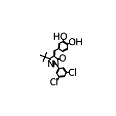 CC(C)(C)C1=NN(c2cc(Cl)cc(Cl)c2)C(=O)C1=Cc1ccc(O)c(O)c1